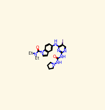 CCN(CC)C(=O)n1ccc2cc(Nc3nc(NC(=O)NN4CCCC4)ncc3I)ccc21